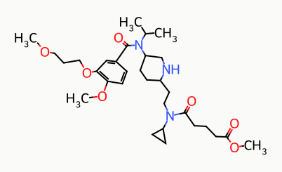 COCCCOc1cc(C(=O)N(C(C)C)C2CCC(CCN(C(=O)CCCC(=O)OC)C3CC3)NC2)ccc1OC